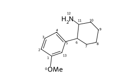 COc1cccc(C2CCCCC2N)c1